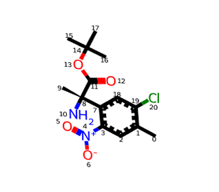 Cc1cc([N+](=O)[O-])c([C@](C)(N)C(=O)OC(C)(C)C)cc1Cl